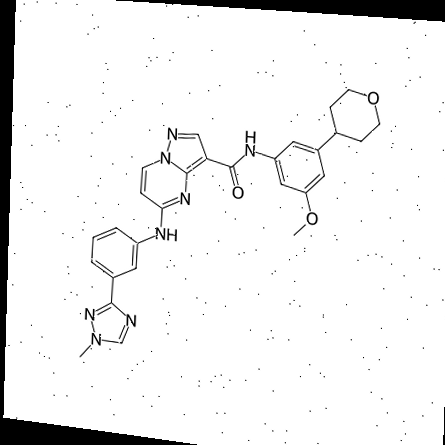 COc1cc(NC(=O)c2cnn3ccc(Nc4cccc(-c5ncn(C)n5)c4)nc23)cc(C2CCOCC2)c1